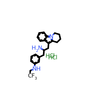 Cl.Cl.NC(Cc1cccc(NCC(F)(F)F)c1)Cc1c2n(c3ccccc13)CCCC2